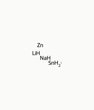 [LiH].[NaH].[SnH2].[Zn]